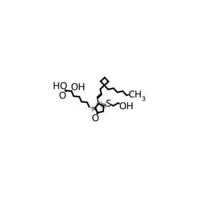 CCCCCCC1(CC=C[C@H]2[C@H](SCCO)CC(=O)[C@@H]2CCCCCC(O)C(=O)O)CCC1